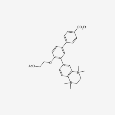 CCOC(=O)c1ccc(-c2ccc(OCCOC(C)=O)c(-c3ccc4c(c3)[Si](C)(C)CC[Si]4(C)C)c2)cc1